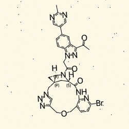 CC(=O)c1nn(CC(=O)N2[C@H]3C[C@]4(C[C@@H]24)Cn2cc(nn2)COCc2ccc(Br)nc2NC3=O)c2ccc(-c3cnc(C)nc3)cc12